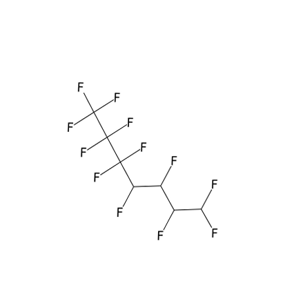 FC(F)C(F)C(F)C(F)C(F)(F)C(F)(F)C(F)(F)F